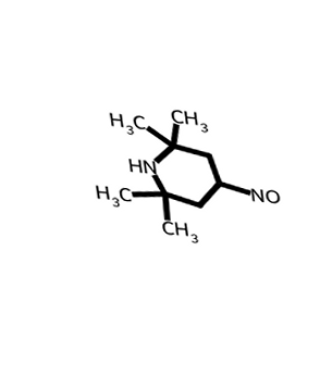 CC1(C)CC(N=O)CC(C)(C)N1